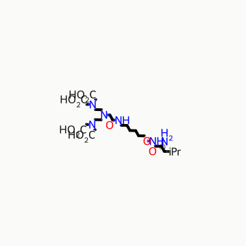 CC(C)C[C@@H](N)C(=O)NOCCCCCCNC(=O)CN(CCN(CC(=O)O)CC(=O)O)CCN(CC(=O)O)CC(=O)O